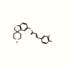 CC(C)N1CCC2(CC1)COc1ccc(NC(=O)C=Cc3ccc(Cl)c(Cl)c3)cc12